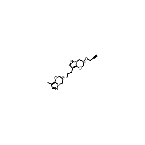 C#CCO[C@H]1COc2c(CCC[C@H]3COc4c(C)cnn4C3)cnn2C1